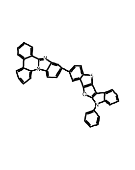 c1ccc(-n2c3ccccc3c3c4sc5ccc(-c6ccc7c(c6)nc6c8ccccc8c8ccccc8n76)cc5c4oc32)cc1